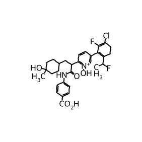 CC(F)C1=C(c2ccc(C(CC3CCC(C)(O)CC3)C(=O)Nc3ccc(C(=O)O)cc3)[n+](O)c2)C(F)=C(Cl)CC1